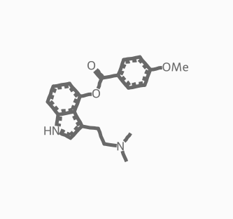 COc1ccc(C(=O)Oc2cccc3[nH]cc(CCN(C)C)c23)cc1